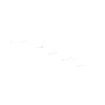 CCNCCCC(=O)OCC